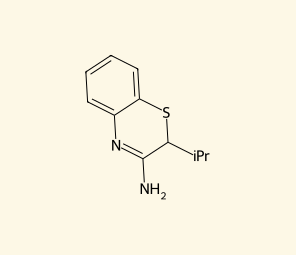 CC(C)C1Sc2ccccc2N=C1N